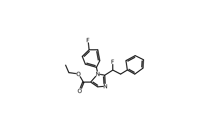 CCOC(=O)c1cnc(C(F)Cc2ccccc2)n1-c1ccc(F)cc1